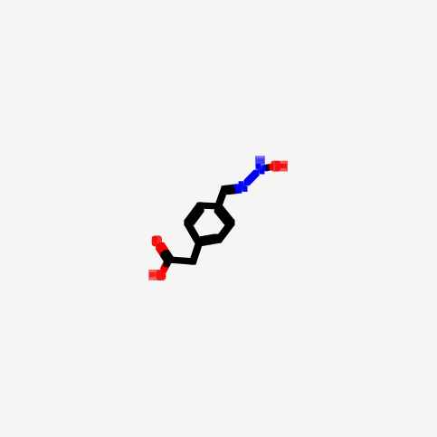 O=C(O)Cc1ccc(C=NNO)cc1